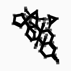 CC[C@]12CC[C@H]3[C@H]([C@@H]1[C@@H]1C[C@@H]1[C@@]21C=CCO1)[C@H](C1CC1)CC1=CC(=O)CC[C@@H]13